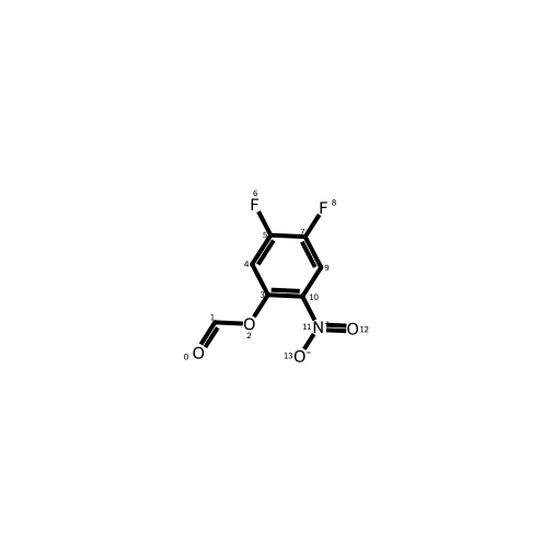 O=COc1cc(F)c(F)cc1[N+](=O)[O-]